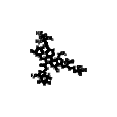 CC(C)(C#Cc1ccc(-c2ccc(Cl)c3c(CN(CCOP(=O)(O)O)[SH](=O)=O)nn(CC(F)(F)F)c23)c(C(Cc2cc(F)cc(F)c2)NC(=O)Cn2nc(C(F)(F)F)c3c2C(F)(F)[C@@H]2C[C@H]32)n1)S(C)(=O)=O